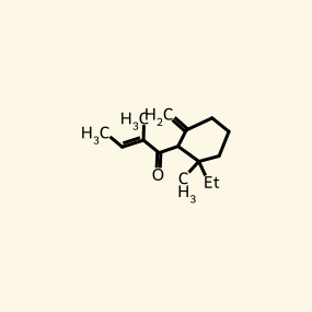 C=C1CCCC(C)(CC)C1C(=O)/C(C)=C/C